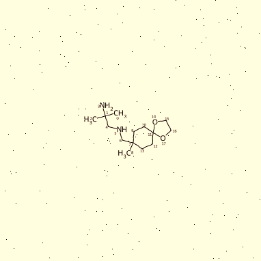 CC(C)(N)CNCC1(C)CCC2(CC1)OCCO2